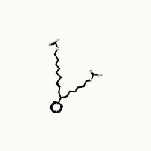 O=C(O)OCCCCCCC=CCC(CCCCCCOC(=O)O)c1ccccc1